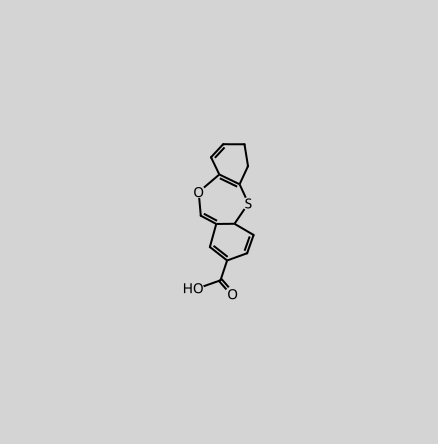 O=C(O)C1=CC2=COC3=C(CCC=C3)SC2C=C1